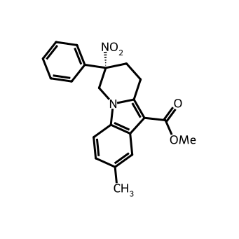 COC(=O)c1c2n(c3ccc(C)cc13)C[C@](c1ccccc1)([N+](=O)[O-])CC2